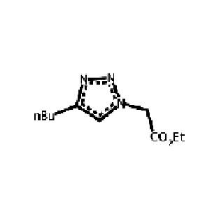 CCCCc1cn(CC(=O)OCC)nn1